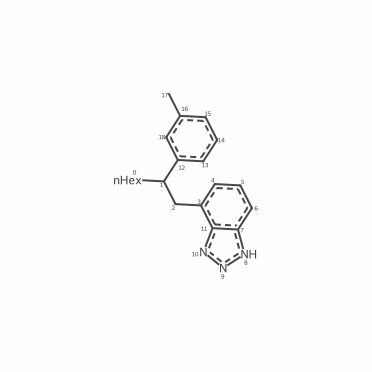 CCCCCCC(Cc1cccc2[nH]nnc12)c1cccc(C)c1